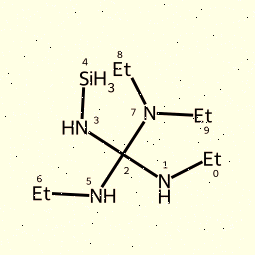 CCNC(N[SiH3])(NCC)N(CC)CC